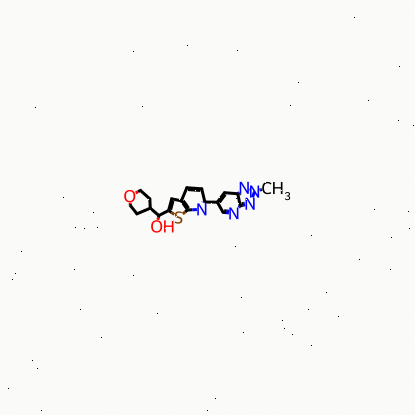 Cn1nc2cc(-c3ccc4cc(C(O)C5CCOCC5)sc4n3)cnc2n1